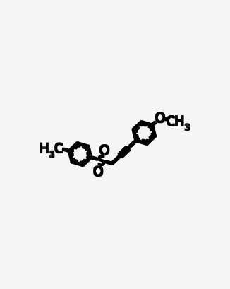 COc1ccc(C#CCS(=O)(=O)c2ccc(C)cc2)cc1